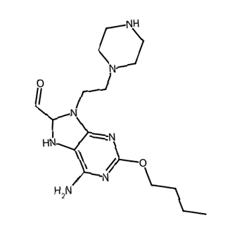 CCCCOc1nc(N)c2c(n1)N(CCN1CCNCC1)C(C=O)N2